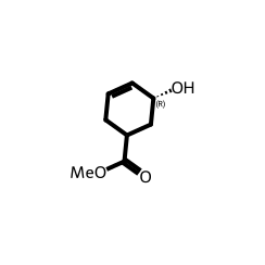 COC(=O)C1CC=C[C@H](O)C1